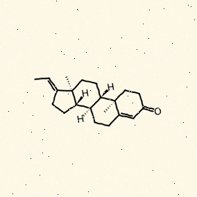 C/C=C1\CC[C@H]2[C@@H]3CCC4=CC(=O)CC[C@]4(C)[C@H]3CC[C@]12C